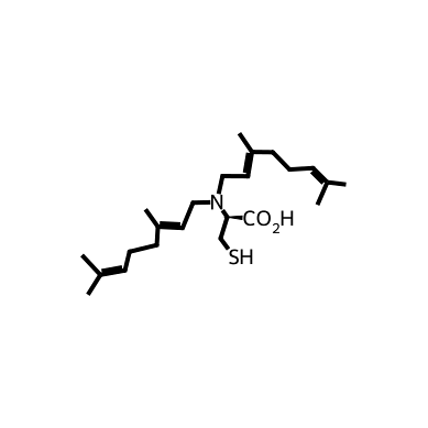 CC(C)=CCC/C(C)=C/CN(C/C=C(\C)CCC=C(C)C)[C@H](CS)C(=O)O